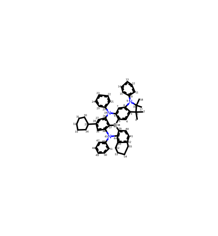 CC1(C)c2cc3c(cc2N(c2ccccc2)C1(C)C)N(c1ccccc1)c1cc(C2CCCCC2)cc2c1B3c1ccc3c(c1N2c1ccccc1)CCCC3